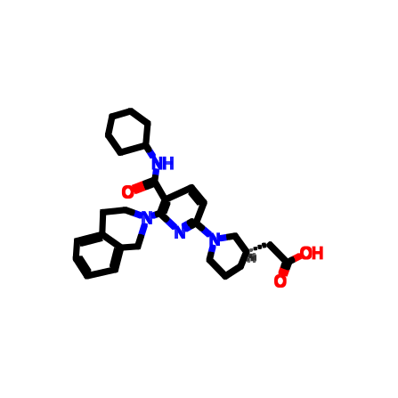 O=C(O)C[C@@H]1CCCN(c2ccc(C(=O)NC3CCCCC3)c(N3CCc4ccccc4C3)n2)C1